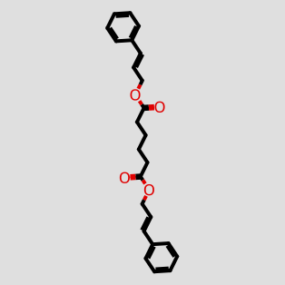 O=C(CCCCC(=O)OC/C=C/c1ccccc1)OC/C=C/c1ccccc1